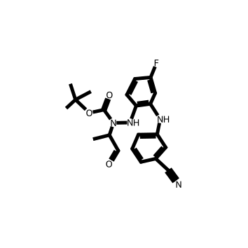 CC(C=O)N(Nc1ccc(F)cc1Nc1cccc(C#N)c1)C(=O)OC(C)(C)C